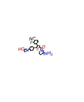 N#Cc1ccc(-c2cc(C(=O)N3CCC[C@@H](N)C3)sc2-c2ccc(N3CC[C@@H](O)C3)cc2)cc1F